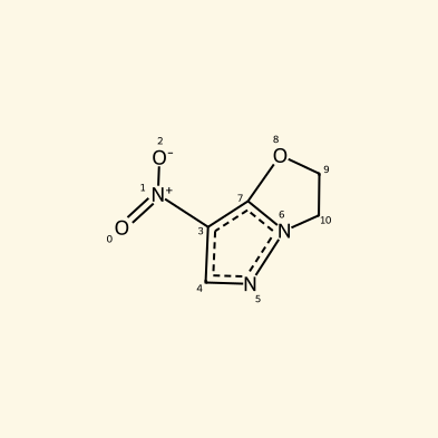 O=[N+]([O-])c1cnn2c1OCC2